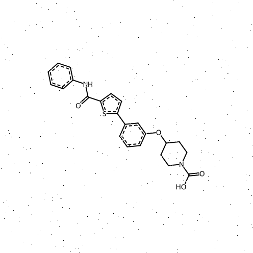 O=C(Nc1ccccc1)c1ccc(-c2cccc(OC3CCN(C(=O)O)CC3)c2)s1